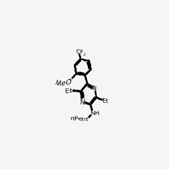 CCCCCNc1nc(CC)c(-c2ccc(C(F)(F)F)cc2OC)nc1CC